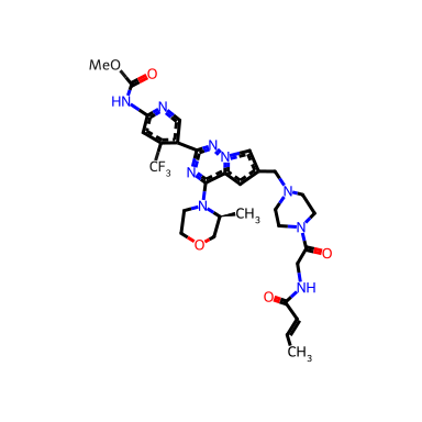 C/C=C/C(=O)NCC(=O)N1CCN(Cc2cc3c(N4CCOC[C@@H]4C)nc(-c4cnc(NC(=O)OC)cc4C(F)(F)F)nn3c2)CC1